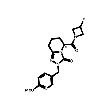 COc1ccc(Cn2nc3n(c2=O)[C@H](C(=O)N2CC(F)C2)CCC3)cn1